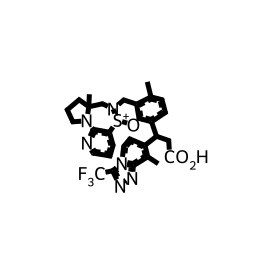 Cc1ccc(C(CC(=O)O)c2ccn3c(C(F)(F)F)nnc3c2C)cc1CN1CC2(C)CCCN2c2ncccc2[S+]1[O-]